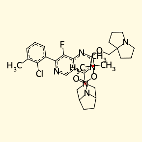 Cc1cccc(-c2ncc3c(N4CC5CCC(C4)N5C(=O)OC(C)(C)C)nc(OCC45CCCN4CCC5)nc3c2F)c1Cl